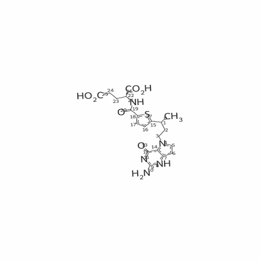 CC(CCn1ccc2[nH]c(N)nc(=O)c21)c1ccc(C(=O)N[C@@H](CCC(=O)O)C(=O)O)s1